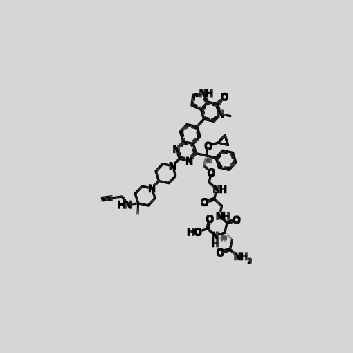 C#CCNC1(C)CCN(C2CCN(c3nc([C@@](COCNC(=O)CNC(=O)[C@H](CC(N)=O)NC(=O)O)(OC4CC4)c4ccccc4)c4cc(-c5cn(C)c(=O)c6[nH]ccc56)ccc4n3)CC2)CC1